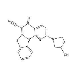 N#Cc1c(=O)c2ccc(N3CCC(O)C3)nc2n2c1sc1ccccc12